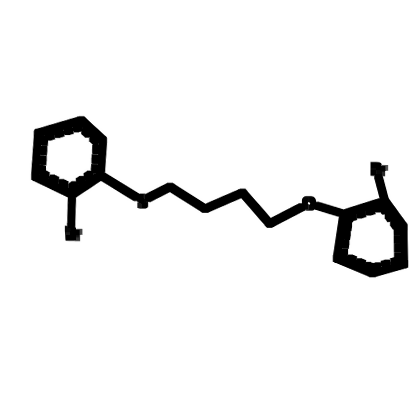 Brc1ccccc1OCCCCSc1ccccc1Br